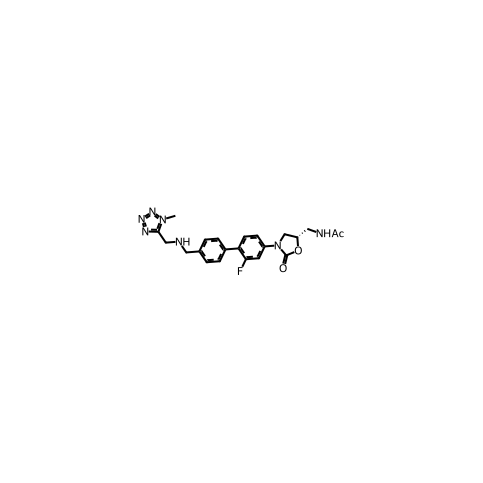 CC(=O)NC[C@H]1CN(c2ccc(-c3ccc(CNCc4nnnn4C)cc3)c(F)c2)C(=O)O1